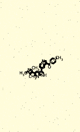 Cc1nn(C)c(C)c1-c1cnc2[nH]cc(-c3ccn4ncc(C(=O)N5CCN(C)CC5)c4c3)c2c1